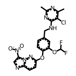 Cc1nc(C)c(Cl)c(NCc2ccc(Oc3ccc4ncc([N+](=O)[O-])n4n3)c(OC(F)F)c2)n1